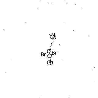 Cc1cc(CCCCCOc2c(Br)cc(-c3ccco3)cc2Br)on1